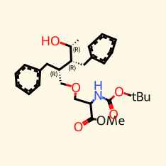 COC(=O)C(COC[C@H](Cc1ccccc1)[C@@H](Cc1ccccc1)[C@@H](C)O)NC(=O)OC(C)(C)C